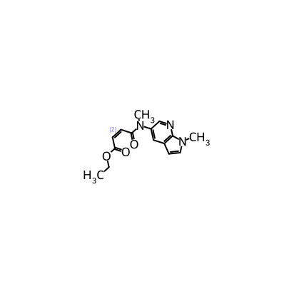 CCOC(=O)/C=C\C(=O)N(C)c1cnc2c(ccn2C)c1